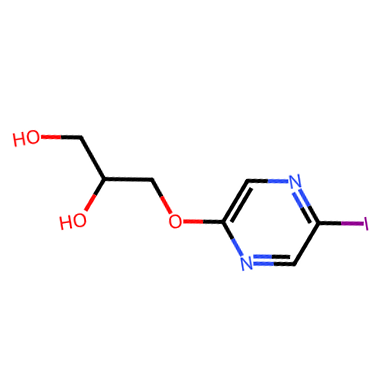 OCC(O)COc1cnc(I)cn1